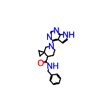 O=C(NCc1ccccc1)C1CCN(c2ncnc3[nH]ccc23)CC12CC2